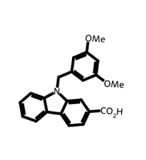 COc1cc(Cn2c3ccccc3c3ccc(C(=O)O)cc32)cc(OC)c1